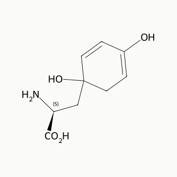 N[C@@H](CC1(O)C=CC(O)=CC1)C(=O)O